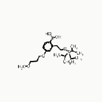 COCCCOc1ccc(B(O)O)c(CCO[Si](C(C)C)(C(C)C)C(C)C)c1